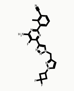 Cc1c(C#N)cccc1-c1nc(N)c(F)c(-c2cn(Cc3ccn(C4CC(F)(F)C4)n3)nn2)n1